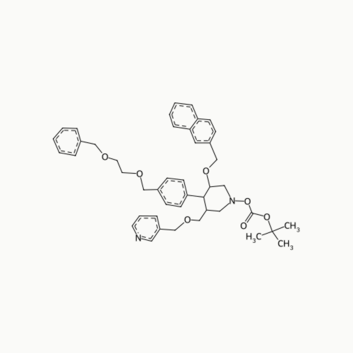 CC(C)(C)OC(=O)ON1CC(COCc2cccnc2)C(c2ccc(COCCOCc3ccccc3)cc2)C(OCc2ccc3ccccc3c2)C1